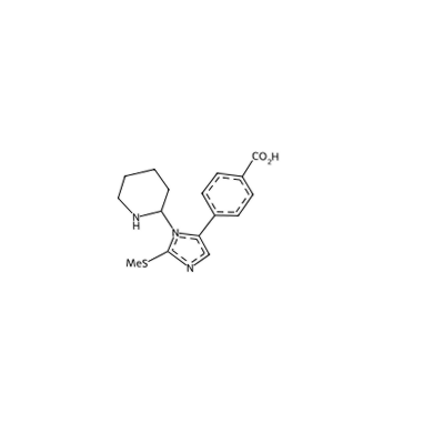 CSc1ncc(-c2ccc(C(=O)O)cc2)n1C1CCCCN1